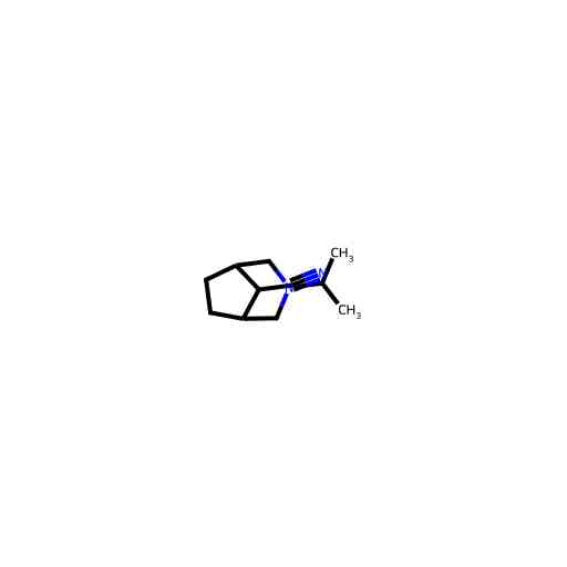 CC(C)N1CC2CCC(C1)C2C#N